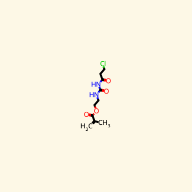 C=C(C)C(=O)OCCNC(=O)NC(=O)CCCl